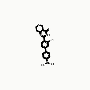 N#Cc1cc(-c2ccc(B(O)O)cc2)ccc1-c1nc2c(c(=O)[nH]1)CSCC2